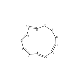 [C]1=C/C=C\C=C\C=C/CCC/C=C/1